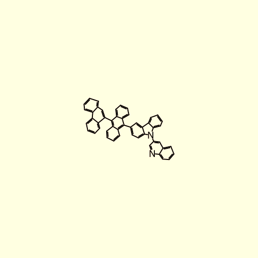 c1ccc2ncc(-n3c4ccccc4c4cc(-c5c6ccccc6c(-c6cc7ccccc7c7ccccc67)c6ccccc56)ccc43)cc2c1